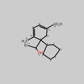 CCC(O)C1(C2CCCCC2)CC(S(=O)(=O)O)=CC=C1C